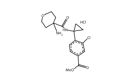 COC(=O)c1ccc(C2(NC(=O)C3(N)CCOCC3)CC2)c(Cl)c1.Cl